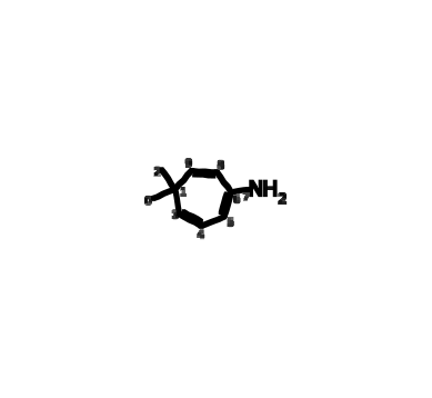 CC1(C)C=CC=C(N)C=C1